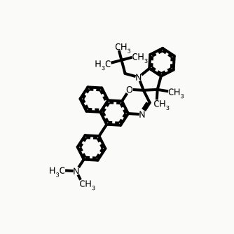 CN(C)c1ccc(-c2cc3c(c4ccccc24)OC2(C=N3)N(CC(C)(C)C)c3ccccc3C2(C)C)cc1